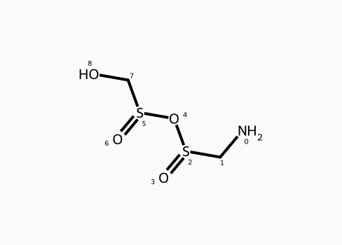 NCS(=O)OS(=O)CO